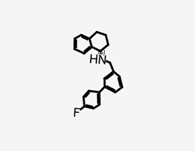 Fc1ccc(-c2cccc(CN[C@H]3CCCc4ccccc43)c2)cc1